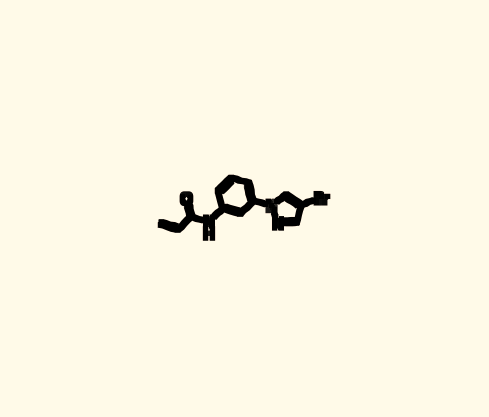 C=CC(=O)Nc1cccc(-n2cc(Br)cn2)c1